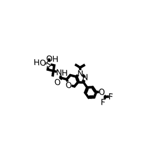 CC(C)n1nc(-c2cccc(OC(F)F)c2)c2c1CC(C(=O)NC1(C)CS(O)(O)C1)OC2